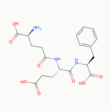 N[C@@H](CCC(=O)N[C@@H](CCC(=O)O)C(=O)N[C@@H](Cc1ccccc1)C(=O)O)C(=O)O